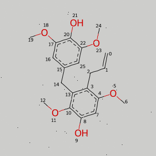 C=CCc1c(OC)cc(O)c(OC)c1Cc1cc(OC)c(O)c(OC)c1